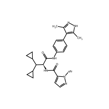 CCCn1nccc1C(=O)N[C@H](C(=O)Nc1ccc(-c2c(C)n[nH]c2C)cc1)C(C1CC1)C1CC1